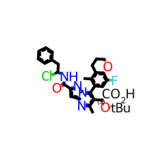 Cc1nc2cc(C(=O)NC(Cl)Cc3ccccc3)nn2c(-c2cc(F)c3c(c2C)CCCO3)c1[C@H](OC(C)(C)C)C(=O)O